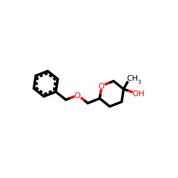 CC1(O)CCC(COCc2ccccc2)OC1